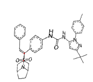 Cc1ccc(-n2nc(C(C)(C)C)cc2NC(=O)Nc2ccc(CC3CC4CCC(C3)N4S(=O)(=O)C=Cc3ccccc3)cc2)cc1